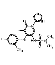 Cc1cc(I)ccc1Nc1c(NS(=O)(=O)N(C)C)cn(-c2ccc[nH]2)c(=O)c1F